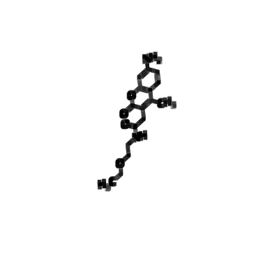 CCOCCNC(=O)Cc1c(C)c2ccc(N)cc2oc1=O